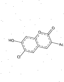 CC(=O)c1cc2cc(Cl)c(O)cc2oc1=O